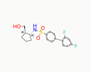 O=S(=O)(N[C@@H]1CCC[C@H]1CO)c1ccc(-c2ccc(F)cc2F)cc1